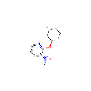 C[C@@H]1CCC[C@@H](Oc2ncccc2[NH+](C)[O-])C1